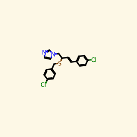 Clc1ccc(C=CC(Cn2ccnc2)SCc2ccc(Cl)cc2)cc1